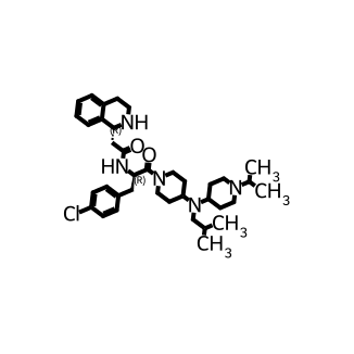 CC(C)CN(C1CCN(C(=O)[C@@H](Cc2ccc(Cl)cc2)NC(=O)C[C@H]2NCCc3ccccc32)CC1)C1CCN(C(C)C)CC1